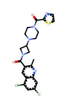 Cc1nc2cc(Cl)cc(Cl)c2cc1C(=O)N1CC(N2CCN(C(=O)c3nccs3)CC2)C1